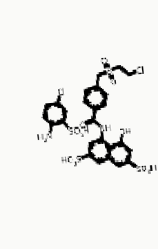 Nc1ccc(Cl)cc1S(=O)(=O)O.O=C(Nc1cc(S(=O)(=O)O)cc2cc(S(=O)(=O)O)cc(O)c12)c1ccc(CS(=O)(=O)CCCl)cc1